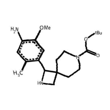 COc1cc(C2NCC23CCN(C(=O)OC(C)(C)C)CC3)c(C)cc1N